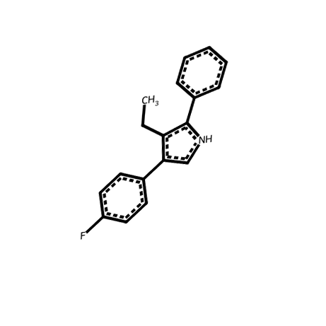 CCc1c(-c2ccc(F)cc2)c[nH]c1-c1ccccc1